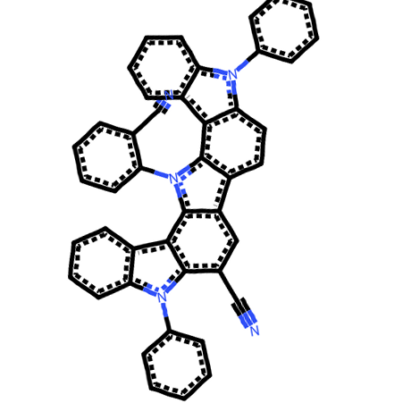 N#Cc1ccccc1-n1c2c(ccc3c2c2ccccc2n3-c2ccccc2)c2cc(C#N)c3c(c4ccccc4n3-c3ccccc3)c21